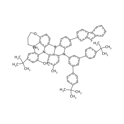 Cc1cc2c3c(c1)N(c1c(C)cc(C(C)(C)C)cc1C)c1c(ccc4c1OCCCO4)B3c1ccc(-c3ccc4c(c3)sc3ccccc34)cc1N2c1cc(-c2ccc(C(C)(C)C)cc2)cc(-c2ccc(C(C)(C)C)cc2)c1